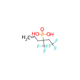 C=CCC(CC(F)(F)F)(C(F)(F)F)P(=O)(O)O